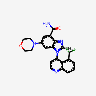 Cc1nc2c(C(N)=O)cc(N3CCOCC3)cc2n1-c1ccnc2cccc(C(F)F)c12